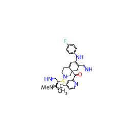 CN/C(C)=C(\C=N)SN1CCC2=CC(Nc3ccc(F)cc3)=C(C=N)CC2(C(=O)c2cc(C)ccn2)C1